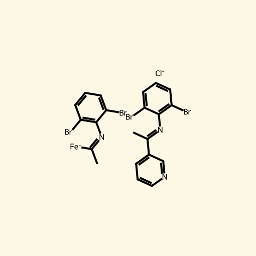 CC(=Nc1c(Br)cccc1Br)c1cccnc1.C[C]([Fe+])=Nc1c(Br)cccc1Br.[Cl-]